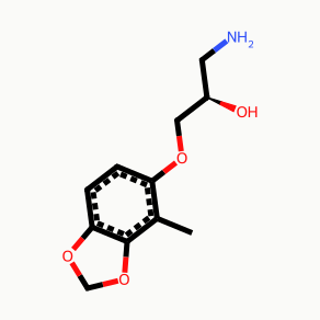 Cc1c(OC[C@H](O)CN)ccc2c1OCO2